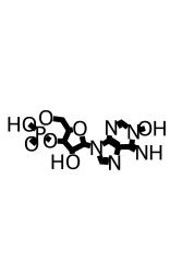 N=c1c2ncn(C3OC4COP(=O)(O)OC4C3O)c2ncn1O